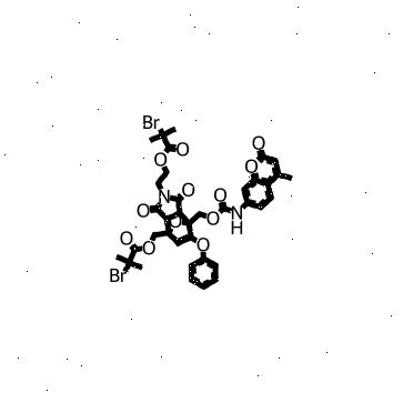 Cc1cc(=O)oc2cc(NC(=O)OCC34OC(COC(=O)C(C)(C)Br)(C=C3Oc3ccccc3)C3C(=O)N(CCOC(=O)C(C)(C)Br)C(=O)C34)ccc12